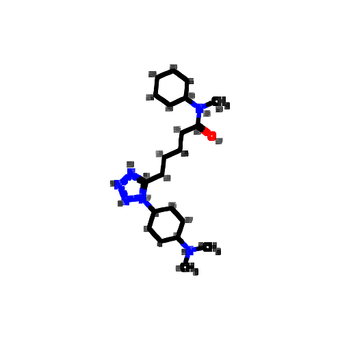 CN(C)C1CCC(n2nnnc2CCCCC(=O)N(C)C2CCCCC2)CC1